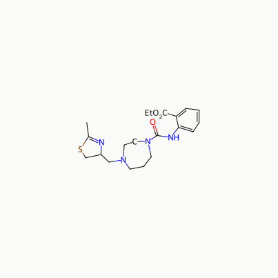 CCOC(=O)c1ccccc1NC(=O)N1CCCN(CC2CSC(C)=N2)CC1